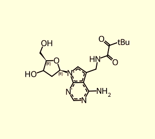 CC(C)(C)C(=O)C(=O)NCc1cn([C@H]2CC(O)[C@@H](CO)O2)c2ncnc(N)c12